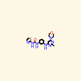 Cc1nc(Nc2cccc(NC(=O)Nc3nccs3)c2)cc(N2CCOCC2)n1